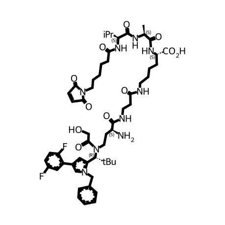 CC(C)[C@H](NC(=O)CCCCCN1C(=O)C=CC1=O)C(=O)N[C@@H](C)C(=O)N[C@@H](CCCCNC(=O)CCNC(=O)[C@@H](N)CCN(C(=O)CO)[C@@H](c1cc(-c2cc(F)ccc2F)cn1Cc1ccccc1)C(C)(C)C)C(=O)O